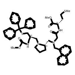 COC(=O)[C@H](CCSC)NC(=O)CN(Cc1cccc2ccccc12)C[C@@H]1CCCN1C[C@H](CSC(c1ccccc1)(c1ccccc1)c1ccccc1)NC(=O)OC(C)(C)C